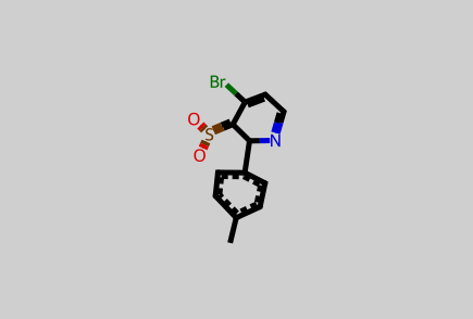 Cc1ccc(C2N=CC=C(Br)C2=S(=O)=O)cc1